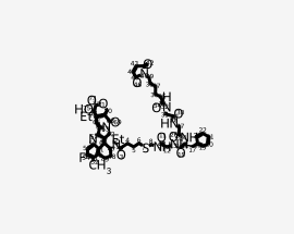 CCN(C(=O)CCCSCNC(=O)CNC(=O)[C@H](Cc1ccccc1)NC(=O)CNC(=O)CNC(=O)CCCCCN1C(=O)C=CC1=O)[C@H]1CCc2c(C)c(F)cc3nc4c(c1c23)Cn1c-4cc2c(c1=O)COC(=O)[C@]2(O)CC